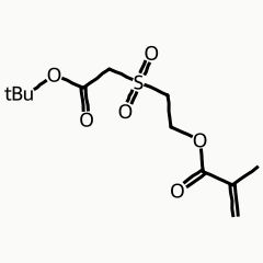 C=C(C)C(=O)OCCS(=O)(=O)CC(=O)OC(C)(C)C